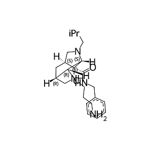 CC(C)CN1C[C@@H]2C[C@H]3CN[C@]2(C(=O)NCc2ccccc2)[C@@H]1[C@@H]3CCCCN